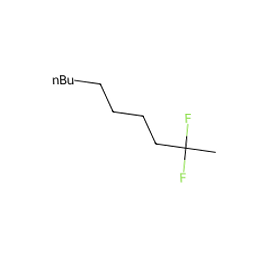 [CH2]CCCCCCCC(C)(F)F